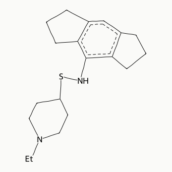 CCN1CCC(SNc2c3c(cc4c2CCC4)CCC3)CC1